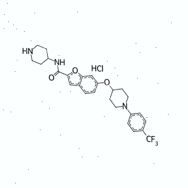 Cl.O=C(NC1CCNCC1)c1cc2ccc(OC3CCN(c4ccc(C(F)(F)F)cc4)CC3)cc2o1